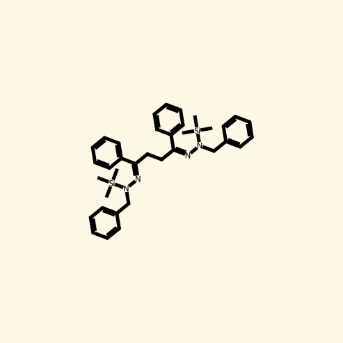 C[Si](C)(C)N(Cc1ccccc1)N=C(CCC(=NN(Cc1ccccc1)[Si](C)(C)C)c1ccccc1)c1ccccc1